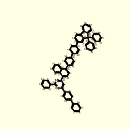 c1ccc(-c2ccc(-c3cc(-c4ccc(-c5ccc(-c6ccc(-c7ccc8c(c7)C(c7ccccc7)(c7ccccc7)c7ccccc7-8)cc6)cc5)c5ccccc45)nc(-c4ccccc4)n3)cc2)cc1